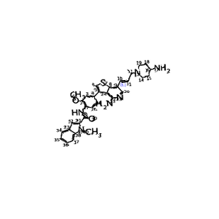 COc1cc(-c2csc3c(/C=C/CN4CCC(N)CC4)cnc(N)c23)ccc1NC(=O)c1cc2ccccc2n1C